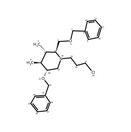 C[C@H]1[C@H](C)[C@@H](COCc2ccccc2)N(CCCCl)C[C@@H]1OCc1ccccc1